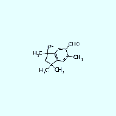 Cc1cc2c(cc1C=O)C(C)(C(C)C)CC2(C)C